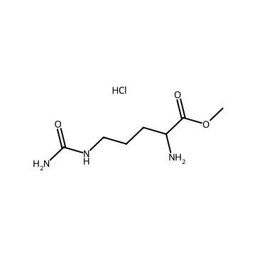 COC(=O)C(N)CCCNC(N)=O.Cl